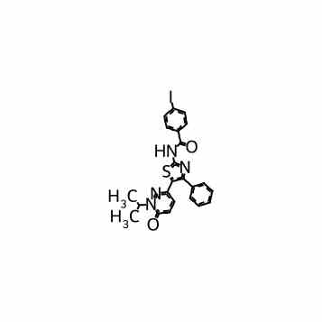 CC(C)n1nc(-c2sc(NC(=O)c3ccc(I)cc3)nc2-c2ccccc2)ccc1=O